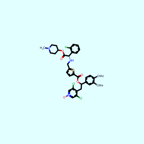 COc1ccc(C(Cc2c(Cl)c[n+]([O-])cc2Cl)OC(=O)c2ccc(CN[C@H](C(=O)OC3CCN(C)CC3)c3ccccc3F)s2)cc1OC